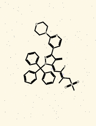 C=c1c(-c2ccnc(N3CCOCC3)c2)nn(C(c2ccccc2)(c2ccccc2)c2ccccc2)/c1=C/C(F)=C(\C)CS(C)(=O)=O